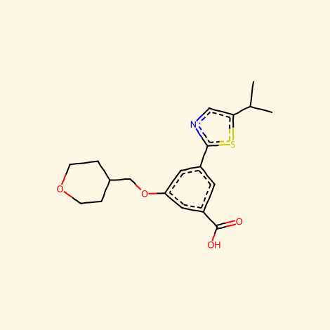 CC(C)c1cnc(-c2cc(OCC3CCOCC3)cc(C(=O)O)c2)s1